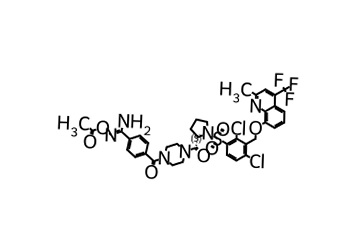 CC(=O)ON=C(N)c1ccc(C(=O)N2CCN(C(=O)[C@@H]3CCCN3S(=O)(=O)c3ccc(Cl)c(COc4cccc5c(C(F)(F)F)cc(C)nc45)c3Cl)CC2)cc1